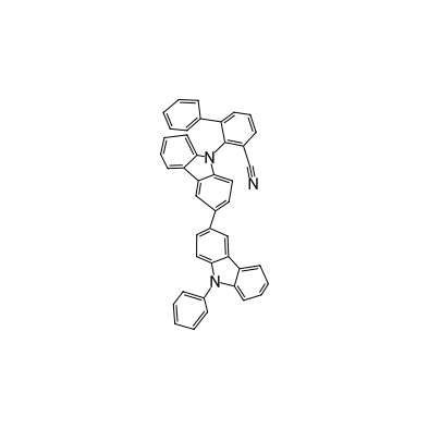 N#Cc1cccc(-c2ccccc2)c1-n1c2ccccc2c2cc(-c3ccc4c(c3)c3ccccc3n4-c3ccccc3)ccc21